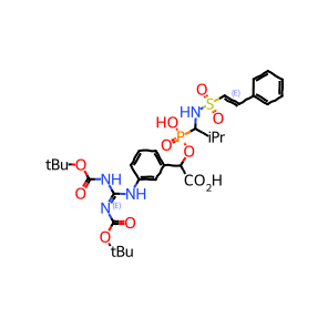 CC(C)C(NS(=O)(=O)/C=C/c1ccccc1)P(=O)(O)OC(C(=O)O)c1cccc(N/C(=N\C(=O)OC(C)(C)C)NC(=O)OC(C)(C)C)c1